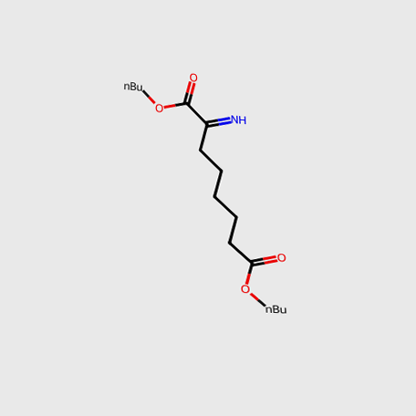 CCCCOC(=O)CCCCCC(=N)C(=O)OCCCC